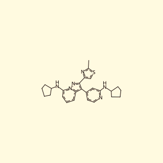 Cc1nc(-c2nn3c(NC4CCCC4)cccc3c2-c2ccnc(NC3CCCC3)c2)cs1